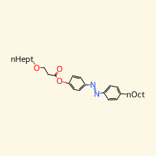 CCCCCCCCc1ccc(N=Nc2ccc(OC(=O)CCOCCCCCCC)cc2)cc1